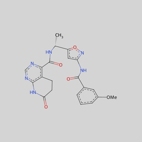 COc1cccc(C(=O)Nc2cc([C@@H](C)NC(=O)c3ncnc4c3CCC(=O)N4)on2)c1